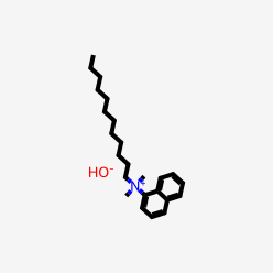 CCCCCCCCCCCC[N+](C)(C)c1cccc2ccccc12.[OH-]